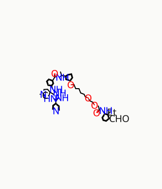 CCc1c(C=O)cccc1NC(=O)COCCOCCCCCCOc1cccc(C(C)NC(=O)c2cccc(NC3(C(=N)NC(=N)c4ccncc4)CCN(C)CC3)c2)c1